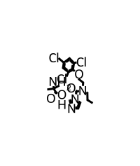 CC(C)(N)C(=O)O.CCCN(CCOc1c(Cl)cc(Cl)cc1Cl)C(=O)n1ccnc1